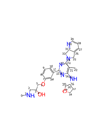 CNCC(O)COc1cccc(-c2nc(N[C@@H]3CCOC3)c(C)c(N3Cc4cccnc4C3)n2)c1